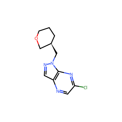 Clc1cnc2cnn(C[C@@H]3CCCOC3)c2n1